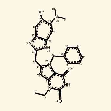 CCn1c(=O)[nH]c(=O)c2c1nc(Cc1nc3cc(F)c(N(C)C)cc3[nH]1)n2Cc1ccccc1